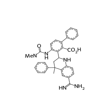 CNC(=O)Nc1ccc(-c2ccccc2)c(C(=O)O)c1C1CC(C)(c2ccccc2)c2cc(C(=N)N)ccc2N1